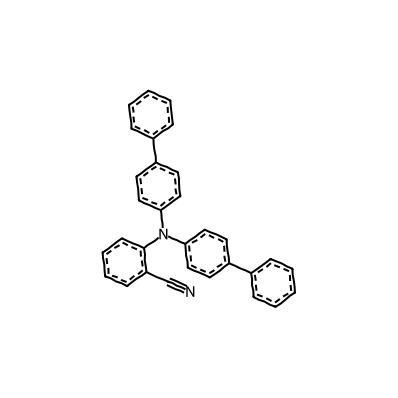 N#Cc1ccccc1N(c1ccc(-c2ccccc2)cc1)c1ccc(-c2ccccc2)cc1